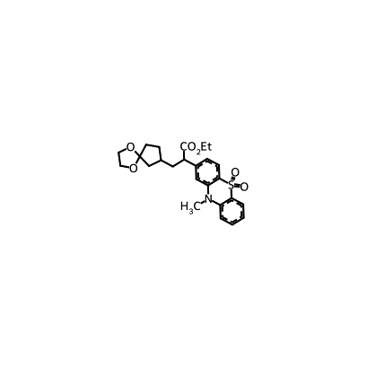 CCOC(=O)C(CC1CCC2(C1)OCCO2)c1ccc2c(c1)N(C)c1ccccc1S2(=O)=O